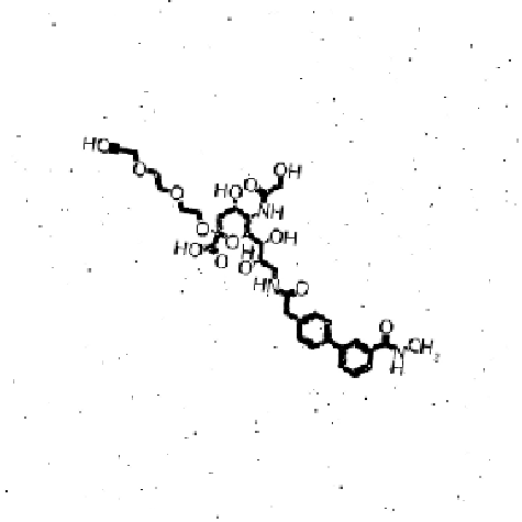 C#CCOCCOCCO[C@]1(C(=O)O)C[C@H](O)[C@@H](NC(=O)CO)[C@H]([C@H](O)[C@H](O)CNC(=O)Cc2ccc(-c3cccc(C(=O)NC)c3)cc2)O1